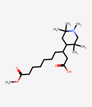 COC(=O)CCCCCCC(CC(=O)O)C1CC(C)(C)N(C)CC1(C)C